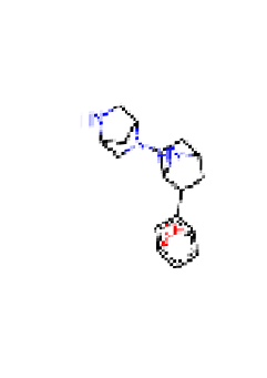 c1cc2oc1cc2C1CC2CC(N3CC4CC3CN4)C1N2